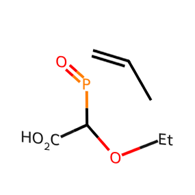 C=CC.CCOC(P=O)C(=O)O